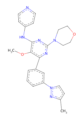 COc1c(Nc2ccncc2)nc(N2CCOCC2)nc1-c1cccc(-n2ccc(C)n2)c1